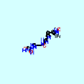 CC(C)c1cc(-c2cccc3cc(-c4ccc(C(=O)NCC#Cc5ccnc(NC6CCC(=O)NC6=O)n5)nc4)ncc23)cc2c1n(C)c(=O)n2C